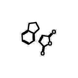 O=C1C=CC(=O)O1.c1ccc2c(c1)CCC2